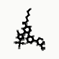 CCCCCNc1ncc(-c2cccc(/C(=C/C(=O)O)CC)c2)c(-n2nc(C(F)(F)F)cc2C)n1